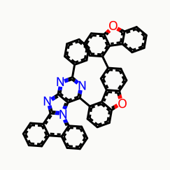 c1ccc(-c2nc(-c3cccc4oc5ccc(-c6cccc7oc8ccccc8c67)cc5c34)c3c(n2)nc2c4ccccc4c4ccccc4n23)cc1